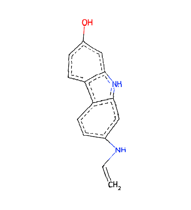 C=CNc1ccc2c(c1)[nH]c1cc(O)ccc12